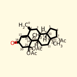 C=C1C[C@H]2[C@@H]3CC[C@H](C(C)=O)[C@@]3(C)CC[C@@H]2[C@]2(C)C1=CC(=O)CC2(OC(C)=O)OC(C)=O